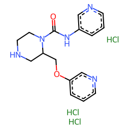 Cl.Cl.Cl.O=C(Nc1cccnc1)N1CCNCC1COc1cccnc1